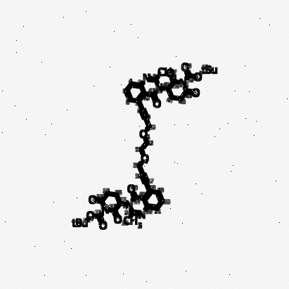 Cc1nc2cccc(C#CCOCCOCC#Cc3cccc4nc(C)n(C5CCC(=O)N(C(=O)OC(C)(C)C)C5=O)c(=O)c34)c2c(=O)n1C1CCC(=O)N(C(=O)OC(C)(C)C)C1=O